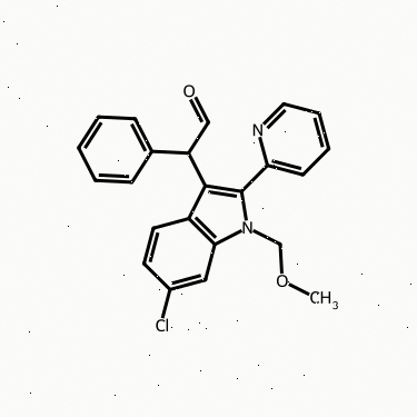 COCn1c(-c2ccccn2)c(C(C=O)c2ccccc2)c2ccc(Cl)cc21